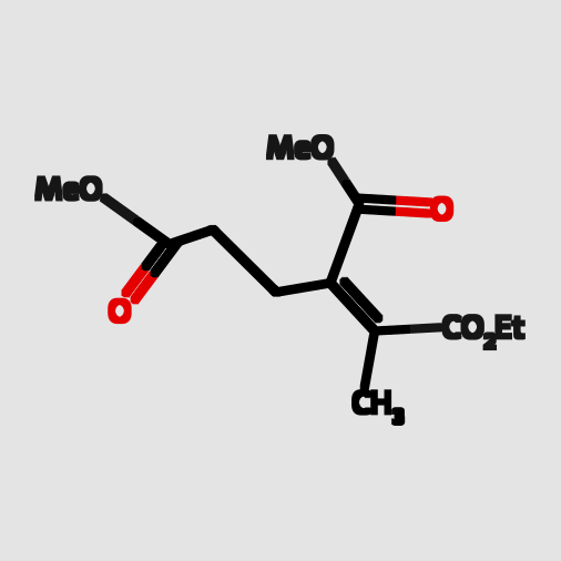 CCOC(=O)/C(C)=C(/CCC(=O)OC)C(=O)OC